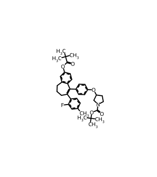 Cc1ccc(C2=C(c3ccc(OC4CCN(C(=O)OC(C)(C)C)C4)cc3)c3ccc(OC(=O)C(C)(C)C)cc3CCC2)c(F)c1